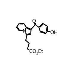 CCOC(=O)CCCc1cc(C(=O)c2ccc(O)cc2)c2ccccn12